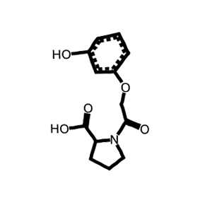 O=C(O)C1CCCN1C(=O)COc1cccc(O)c1